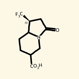 O=C(O)C1CCC2[C@@H](C(F)(F)F)CC(=O)N2C1